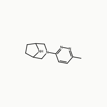 Cc1ccc(N2CC3CCC(C2)N3)nn1